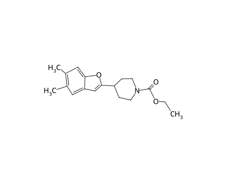 CCOC(=O)N1CCC(c2cc3cc(C)c(C)cc3o2)CC1